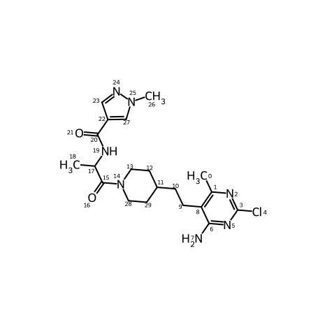 Cc1nc(Cl)nc(N)c1CCC1CCN(C(=O)C(C)NC(=O)c2cnn(C)c2)CC1